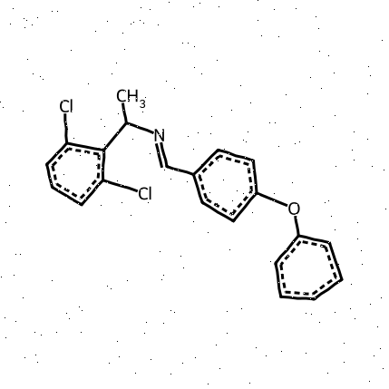 CC(/N=C/c1ccc(Oc2ccccc2)cc1)c1c(Cl)cccc1Cl